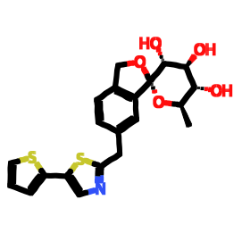 C[C@H]1O[C@]2(OCc3ccc(Cc4ncc(-c5cccs5)s4)cc32)[C@H](O)[C@@H](O)[C@@H]1O